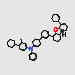 CC1C=C(N(C2=CCC(C3=CC(C4CCCC5C4OC4C(C6C=CCCC6)=CCC[C@H]45)=CCC3)CC2)c2ccccc2)C=CC1C1CCCCC1